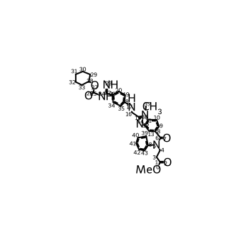 COC(=O)CCN(C(=O)c1ccc2c(c1)nc(CNc1ccc(C(=N)NC(=O)OC3CCCCC3)cc1)n2C)c1ccccc1